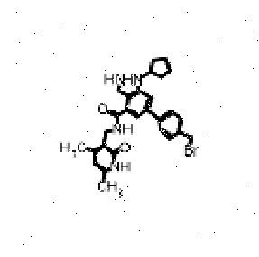 Cc1cc(C)c(CNC(=O)c2cc(-c3ccc(CBr)cc3)cc(NC3CCCC3)c2C=N)c(=O)[nH]1